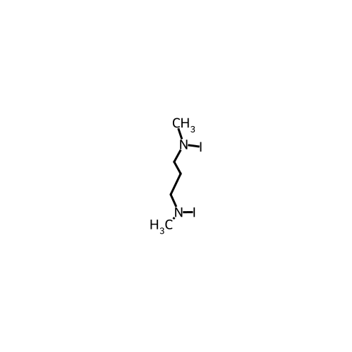 CN(I)CCCN(C)I